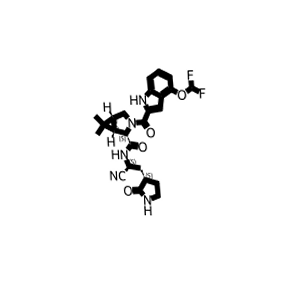 CC1(C)[C@@H]2[C@@H](C(=O)N[C@H](C#N)C[C@@H]3CCNC3=O)N(C(=O)c3cc4c(OC(F)F)cccc4[nH]3)C[C@@H]21